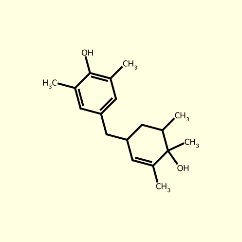 CC1=CC(Cc2cc(C)c(O)c(C)c2)CC(C)C1(C)O